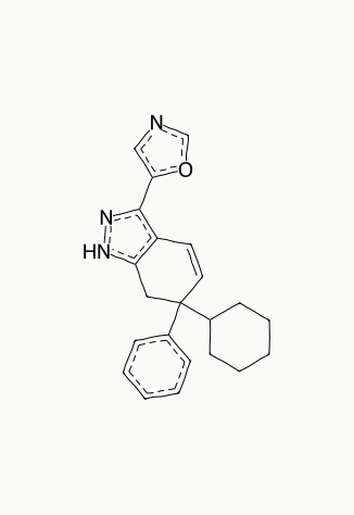 C1=CC(c2ccccc2)(C2CCCCC2)Cc2[nH]nc(-c3cnco3)c21